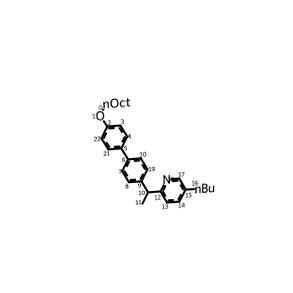 CCCCCCCCOc1ccc(-c2ccc(C(C)c3ccc(CCCC)cn3)cc2)cc1